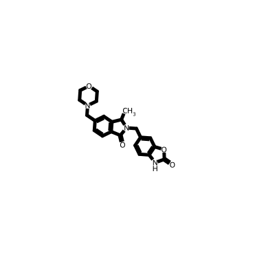 CC1c2cc(CN3CCOCC3)ccc2C(=O)N1Cc1ccc2[nH]c(=O)oc2c1